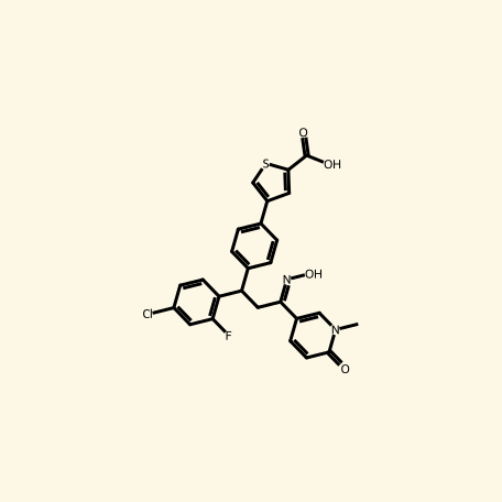 Cn1cc(C(CC(c2ccc(-c3csc(C(=O)O)c3)cc2)c2ccc(Cl)cc2F)=NO)ccc1=O